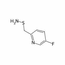 NSCc1ccc(F)cn1